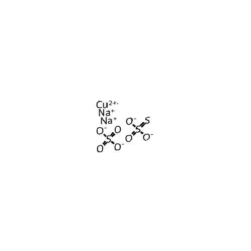 O=S(=O)([O-])[O-].O=S([O-])([O-])=S.[Cu+2].[Na+].[Na+]